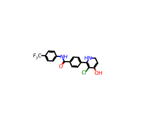 O=C(Nc1ccc(C(F)(F)F)cc1)c1ccc(C2=C(Cl)C(O)=CCN2)cc1